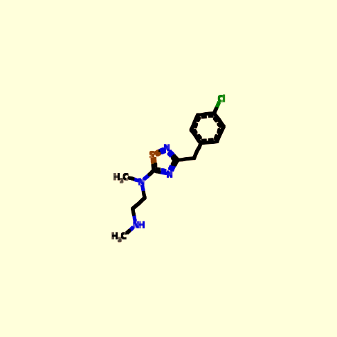 CNCCN(C)c1nc(Cc2ccc(Cl)cc2)ns1